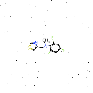 CN(Cc1cs[c]n1)c1c(F)cc(F)cc1F